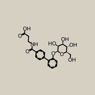 O=C(O)CCNC(=O)c1ccc(-c2ccccc2O[C@@H]2O[C@H](CO)[C@@H](O)[C@H](O)[C@@H]2O)cc1